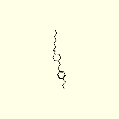 CCCCCCC[SiH]1CCC(CCc2ccc(OCC)cc2)CC1